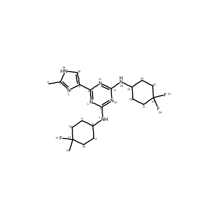 Cc1nc(-c2nc(NC3CCC(C)(F)CC3)nc(NC3CCC(F)(F)CC3)n2)c[nH]1